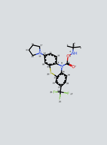 CC(C)(C)NOC(=O)N1c2ccc(N3CCCC3)cc2Sc2cc(C(F)(F)F)ccc21